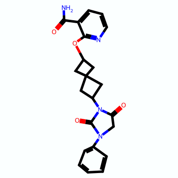 NC(=O)c1cccnc1OC1CC2(C1)CC(N1C(=O)CN(c3ccccc3)C1=O)C2